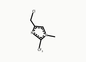 Cn1cc(CCl)nc1C(F)(F)F